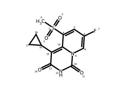 CS(=O)(=O)c1cc(F)cn2c(=O)[nH]c(=O)c(C3CC3)c12